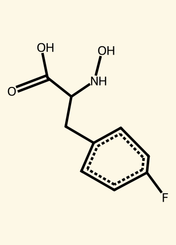 O=C(O)C(Cc1ccc(F)cc1)NO